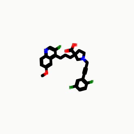 COc1ccc2ncc(F)c(CCCC3(C(=O)O)CCN(CC#Cc4cc(F)ccc4F)C3)c2c1